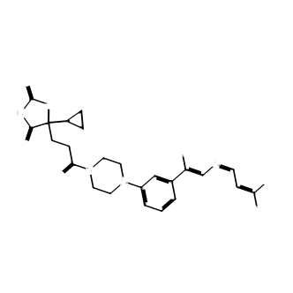 CC/C(C)=C/C=N\C=C(/C)c1cccc(N2CCN(C(=O)CCC3(C4CC4)NC(=O)NC3=O)CC2)c1